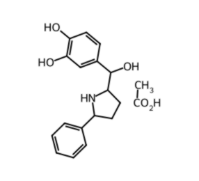 CC(=O)O.Oc1ccc(C(O)C2CCC(c3ccccc3)N2)cc1O